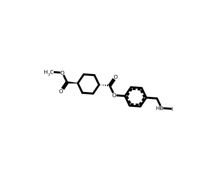 COC(=O)[C@H]1CC[C@H](C(=O)Oc2ccc(CBI)cc2)CC1